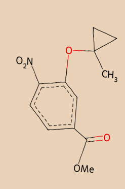 COC(=O)c1ccc([N+](=O)[O-])c(OC2(C)CC2)c1